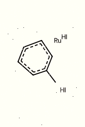 Cc1ccccc1.I.I.[Ru]